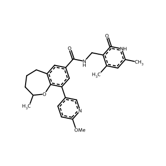 COc1ccc(-c2cc(C(=O)NCc3c(C)cc(C)[nH]c3=O)cc3c2OC(C)CCC3)cn1